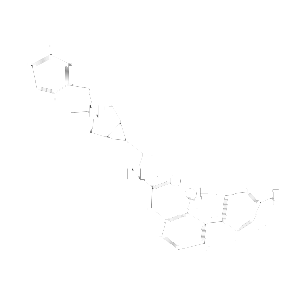 C[N+]1(Cc2ccccc2)CC2C(CNC(=O)Cc3cccc(-c4ccc(F)cc4)c3O)C2C1